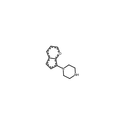 c1coc2c(N3CCNCC3)ccc-2c1